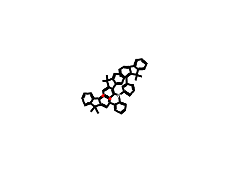 CC1(C)c2ccccc2-c2ccc(-c3ccccc3N(c3cccc(-c4cccc5c4C(C)(C)c4ccccc4-5)c3)c3cccc4c3-c3ccccc3C4(C)C)cc21